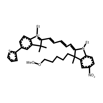 CCN1/C(=C/C=C/C=C/C2=[N+](CC)c3ccc(-c4cccs4)cc3C2(C)C)C(C)(CCCCCOOC)c2cc([N+](=O)[O-])ccc21